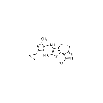 Cc1sc2c(c1Nc1cc(C3CC3)cn1C)COCc1nnc(C)n1-2